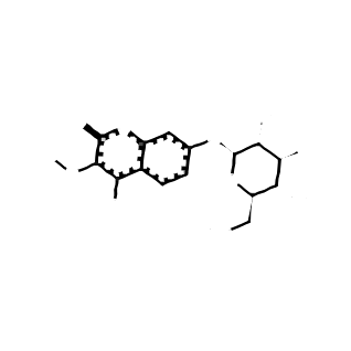 CCCCCCCCOc1c(O)c2ccc(O[C@@H]3O[C@H](COC(C)=O)[C@@H](OC(C)=O)[C@H](OC(C)=O)[C@H]3OC(C)=O)cc2oc1=O